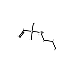 C=CS(C)(C)NCCC